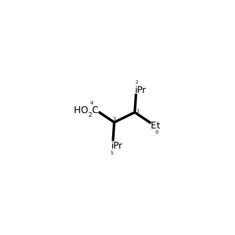 CCC(C(C)C)C(C(=O)O)C(C)C